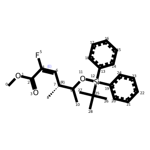 COC(=O)/C(F)=C\[C@@H](C)C(C)O[Si](c1ccccc1)(c1ccccc1)C(C)(C)C